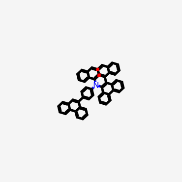 c1ccc2c(-c3c(N(c4ccc(-c5cc6ccccc6c6ccccc56)cc4)c4cccc5ccccc45)c4ccccc4c4ccccc34)cccc2c1